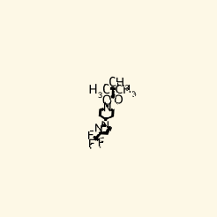 CC(C)(C)C(=O)ON1CCC(n2ccc(C(F)(F)F)n2)CC1